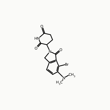 CN(C)c1ccc2c(c1Br)C(=O)N(C1CCC(=O)NC1=O)C2